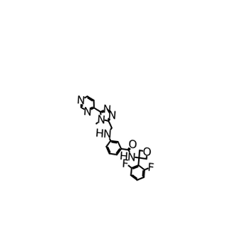 Cn1c(CNc2cccc(C(=O)NC3(c4c(F)cccc4F)COC3)c2)nnc1-c1ccncn1